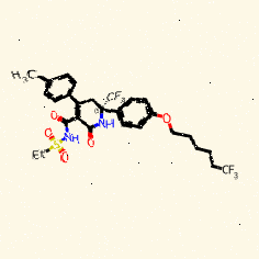 CCS(=O)(=O)NC(=O)C1=C(c2ccc(C)cc2)C[C@](c2ccc(OCCCCCC(F)(F)F)cc2)(C(F)(F)F)NC1=O